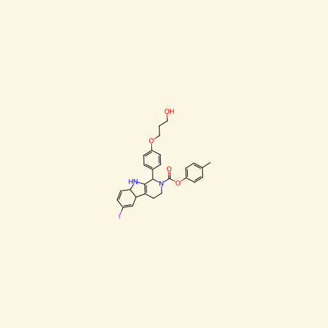 Cc1ccc(OC(=O)N2CCC3=C(NC4C=CC(I)=CC34)C2c2ccc(OCCCO)cc2)cc1